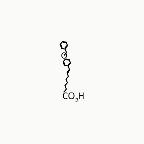 O=C(O)CCCCCCC=Cc1ccc(OCc2ccccc2)cc1